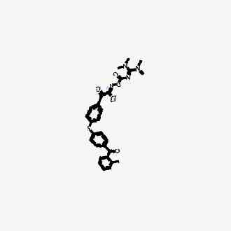 Cc1ccccc1C(=O)c1ccc(Sc2ccc(C(=O)/C(Cl)=N/OC(=O)N=C(N(C)C)N(C)C)cc2)cc1